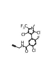 C#CCNC(=O)c1cc(-c2c(Cl)c(C(F)(F)F)n(C)c2Cl)c(F)cc1Cl